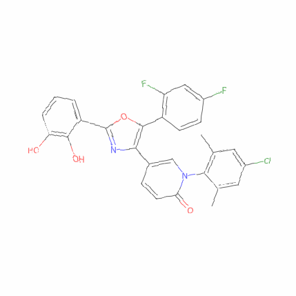 Cc1cc(Cl)cc(C)c1-n1cc(-c2nc(-c3cccc(O)c3O)oc2-c2ccc(F)cc2F)ccc1=O